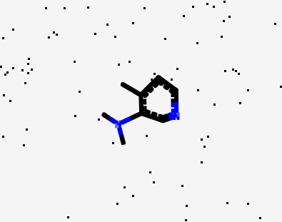 Cc1ccncc1N(C)C